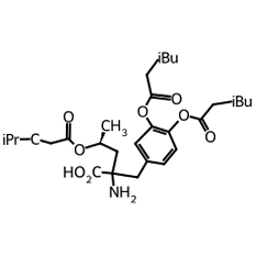 CCC(C)CC(=O)Oc1ccc(CC(N)(C[C@H](C)OC(=O)CCC(C)C)C(=O)O)cc1OC(=O)CC(C)CC